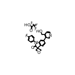 O=C(Nc1ccc(F)cc1)C1(c2ccc(-c3cnccc3CO)cc2)COC1.O=C(O)C(F)(F)F